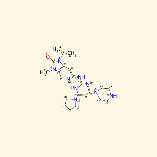 CC(C)n1c(=O)n(C)c2cnc(Nc3nc(N4CCCC4)cc(N4CCNCC4)n3)cc21